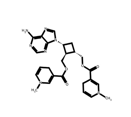 CN1C=CCC(C(=O)OC[C@H]2C[C@@H](n3cnc4c(N)ncnc43)[C@@H]2COC(=O)C2=CN(C)C=CC2)=C1